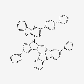 c1ccc(-c2ccc(-c3nc(-n4c5ccc(-c6ccccc6)cc5c5c6c7ccccc7n7c8ccc(-c9ccccc9)cc8c(cc54)c67)c4sc5ccccc5c4n3)cc2)cc1